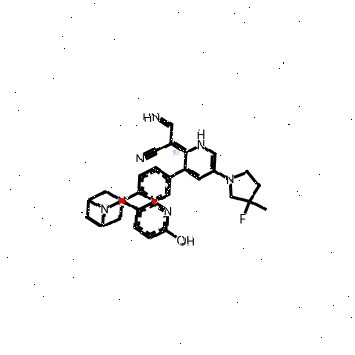 CC1(F)CCN(C2=CN/C(=C(/C#N)C=N)C(c3ccc(N4CC5CC(C4)N5Cc4ccc(O)nc4)nc3)=C2)C1